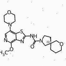 COc1ncc(N2CCOCC2)c2sc(NC(=O)N3CC[C@@]4(CCCOC4)C3)nc12